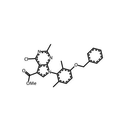 COC(=O)c1cn(-c2c(C)ccc(OCc3ccccc3)c2C)c2nc(C)nc(Cl)c12